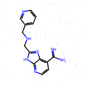 N=C(N)c1ccnc2[nH]c(CNCc3cccnc3)nc12